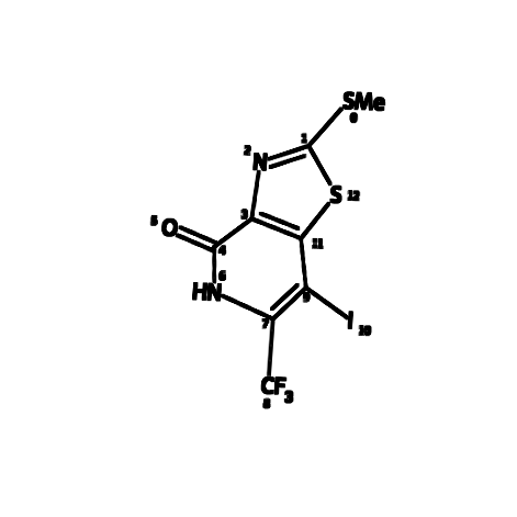 CSc1nc2c(=O)[nH]c(C(F)(F)F)c(I)c2s1